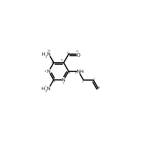 C=CCNc1nc(N)nc(N)c1C=O